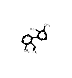 C=Cc1c(C)cccc1-c1cccc(C)c1C